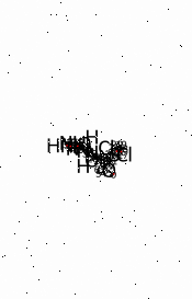 CCOc1ccccc1-c1ccc(CSc2c(Cl)cccc2Cl)nc1/C=C/C(=O)NCCNC(=O)c1ccc(NN)nc1